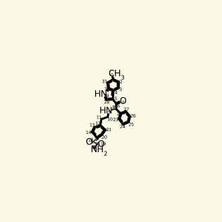 Cc1ccc2c(C(=O)[C@H](NCCc3ccc(S(N)(=O)=O)cc3)c3ccccc3)c[nH]c2c1